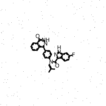 CC(C)=CN(C(=O)c1n[nH]c2cc(F)ccc12)c1ccc(-c2n[nH]c(=O)c3ccccc23)cc1